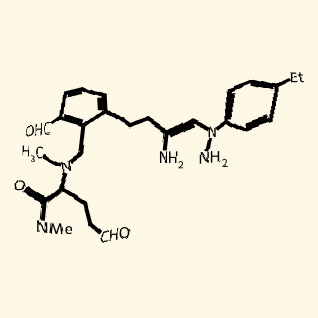 CCc1ccc(N(N)/C=C(\N)CCc2cccc(C=O)c2CN(C)C(CCC=O)C(=O)NC)cc1